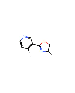 CCC1COC(c2cnccc2C(F)(F)F)=N1